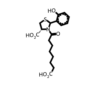 O=C(O)CCCCCCC(=O)N1C(c2ccccc2O)SC[C@H]1C(=O)O